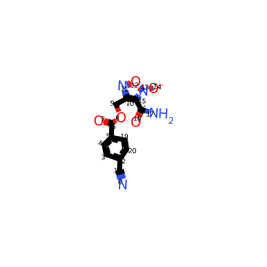 N#Cc1ccc(C(=O)OCc2no[n+]([O-])c2C(N)=O)cc1